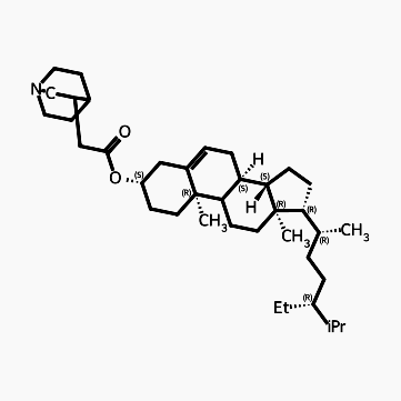 CC[C@H](CC[C@@H](C)[C@H]1CC[C@H]2[C@@H]3CC=C4C[C@@H](OC(=O)CC5CN6CCC5CC6)CC[C@]4(C)C3CC[C@]12C)C(C)C